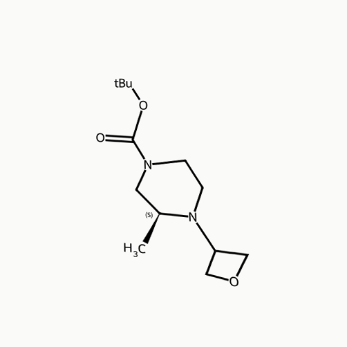 C[C@H]1CN(C(=O)OC(C)(C)C)CCN1C1COC1